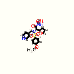 COc1ccc(S(=O)(=O)N(Cc2ccncc2)[C@@H](C(=O)NO)C2CCCO2)cc1